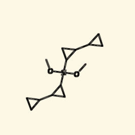 CO[Si](OC)(C1CC1C1CC1)C1CC1C1CC1